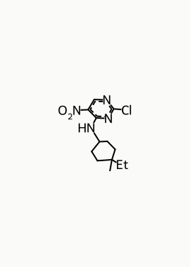 CCC1(C)CCC(Nc2nc(Cl)ncc2[N+](=O)[O-])CC1